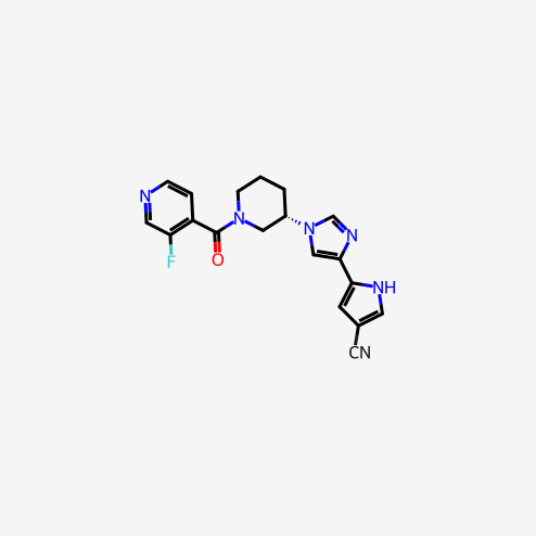 N#Cc1c[nH]c(-c2cn([C@H]3CCCN(C(=O)c4ccncc4F)C3)cn2)c1